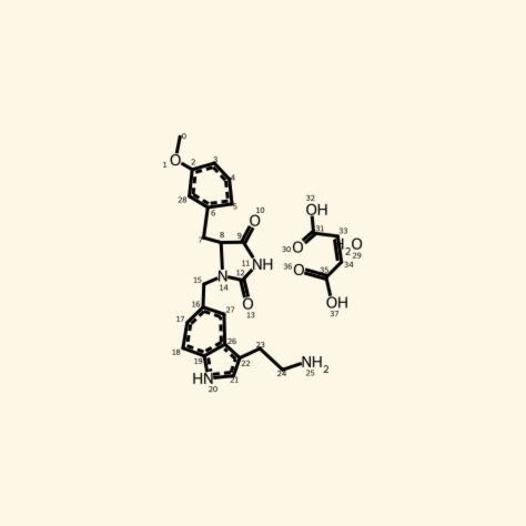 COc1cccc(CC2C(=O)NC(=O)N2Cc2ccc3[nH]cc(CCN)c3c2)c1.O.O=C(O)/C=C\C(=O)O